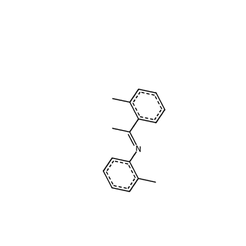 C/C(=N\c1ccccc1C)c1ccccc1C